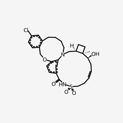 C[C@@]12CC[C@@H]1CN1CCCCc3cc(Cl)ccc3COc3ccc(cc31)C(=O)NS(=O)(=O)CC/C=C\C[C@@H]2O